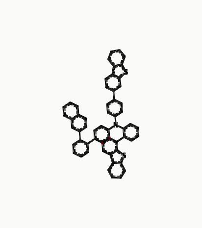 c1ccc(-c2ccc3ccccc3c2)c(-c2ccc(N(c3ccc(-c4ccc5c(c4)sc4ccccc45)cc3)c3ccccc3-c3cccc4c3sc3ccccc34)cc2)c1